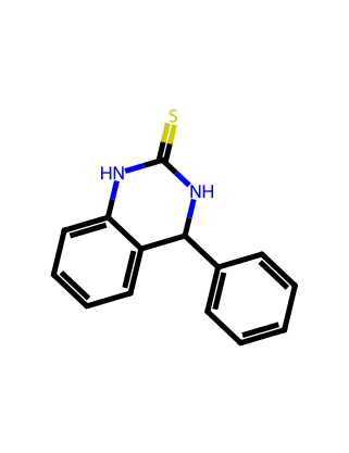 S=C1Nc2ccccc2C(c2ccccc2)N1